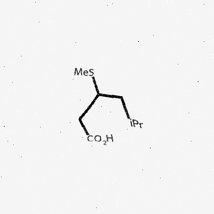 CSC(CC(=O)O)CC(C)C